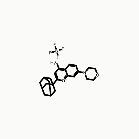 Cc1cc(C23CC4CC(CC(C4)C2)C3)[o+]c2cc(N3CCOCC3)ccc12.F[B-](F)(F)F